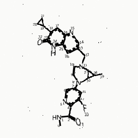 CNC(=O)c1ncc(N2CCN(Cc3cnc4cc(C5CC5)c(=O)[nH]c4c3)C3C(C)C32)cc1F